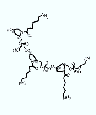 NCCCCCC(=O)N1C[C@H](O)C[C@H]1COP(=O)(O)OO[C@@H]1C[C@@H](COP(=O)(O)OO[C@@H]2C[C@@H](COP(=O)(O)OCCO)N(C(=O)CCCCCN)C2)N(C(=O)CCCCCN)C1